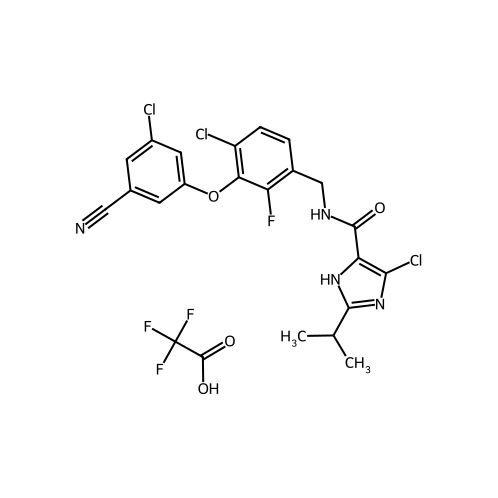 CC(C)c1nc(Cl)c(C(=O)NCc2ccc(Cl)c(Oc3cc(Cl)cc(C#N)c3)c2F)[nH]1.O=C(O)C(F)(F)F